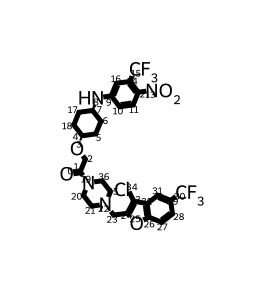 O=C(CO[C@H]1CC[C@H](Nc2ccc([N+](=O)[O-])c(C(F)(F)F)c2)CC1)N1CCN(Cc2oc3ccc(C(F)(F)F)cc3c2Cl)CC1